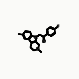 Cc1ccc2c(c1)c1c(n2CC(=O)c2ccc(F)cc2)CN(C)CC1